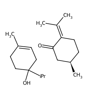 CC(C)=C1CC[C@@H](C)CC1=O.CC1=CCC(O)(C(C)C)CC1